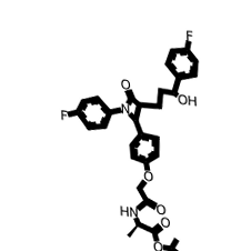 C[C@@H](NC(=O)COc1ccc(C2C(CCC(O)c3ccc(F)cc3)C(=O)N2c2ccc(F)cc2)cc1)C(=O)OC(C)(C)C